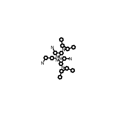 N#Cc1cccc(-c2ccc(-c3nc(-c4ccc(-n5c6ccc(-c7ccccc7)cc6c6cc(-c7ccccc7)ccc65)cc4-c4cccc(C#N)c4)nc(-c4ccc(-n5c6ccc(-c7ccccc7)cc6c6cc(-c7ccccc7)ccc65)cc4-c4cccc(C#N)c4)n3)cc2)c1